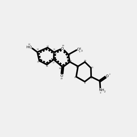 NC(=O)C1CCC(c2c(C(F)(F)F)oc3cc(O)ccc3c2=O)CC1